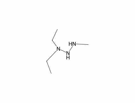 CCN(CC)NNC